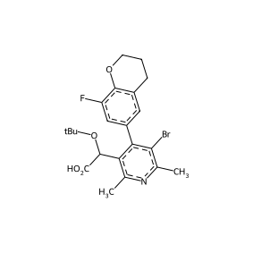 Cc1nc(C)c(C(OC(C)(C)C)C(=O)O)c(-c2cc(F)c3c(c2)CCCO3)c1Br